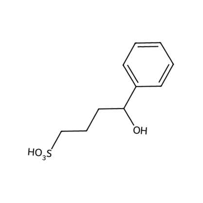 O=S(=O)(O)CCCC(O)c1ccccc1